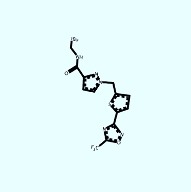 CC(C)(C)CNC(=O)c1ccn(Cc2ccc(-c3noc(C(F)(F)F)n3)s2)n1